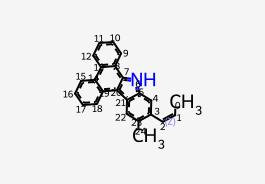 C/C=C\c1cc2[nH]c3c4ccccc4c4ccccc4c3c2cc1C